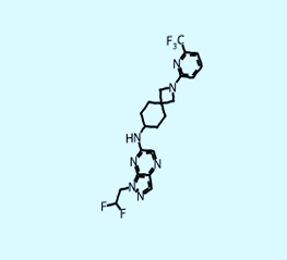 FC(F)Cn1ncc2ncc(NC3CCC4(CC3)CN(c3cccc(C(F)(F)F)n3)C4)nc21